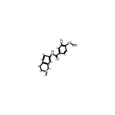 CC(C)Oc1ccc(C(=O)Nc2ccc3c(c2)CN(C)CC3)cc1Cl